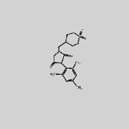 Cc1cc(C)c(C2C(=O)CC(CC3CCS(=O)(=O)CC3)C2=O)c(C)c1